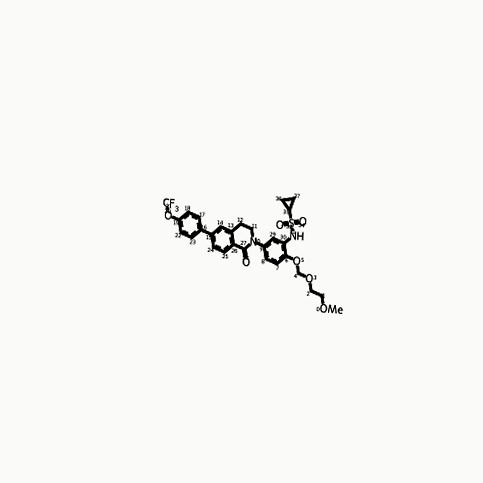 COCCOCOc1ccc(N2CCc3cc(-c4ccc(OC(F)(F)F)cc4)ccc3C2=O)cc1NS(=O)(=O)C1CC1